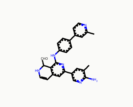 Cc1cc(-c2ccc(Nc3nc(-c4cnc(N)c(C)c4)cc4c3C(C=O)NC=C4)cc2)ccn1